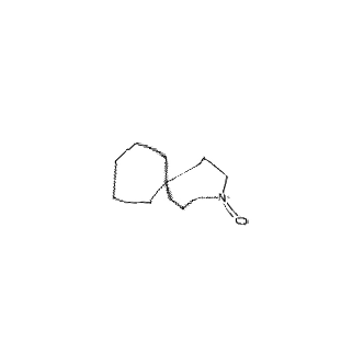 O=[N+]1CCC2(CCCCC2)C1